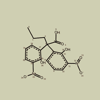 CCCC(C(=O)O)(c1cccc([N+](=O)[O-])c1O)c1cccc([N+](=O)[O-])c1O